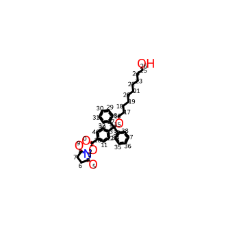 O=C(ON1C(=O)CCC1=O)c1ccc(C(OCCCCCCCCCCO)(c2ccccc2)c2ccccc2)cc1